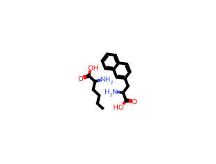 CCCCC(N)C(=O)O.NC(Cc1ccc2ccccc2c1)C(=O)O